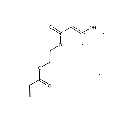 C=CC(=O)OCCOC(=O)C(C)=CO